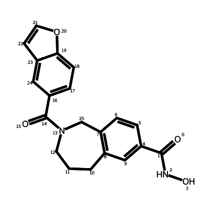 O=C(NO)c1ccc2c(c1)CCCN(C(=O)c1ccc3occc3c1)C2